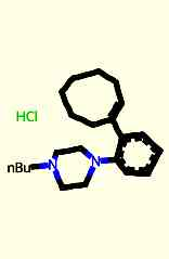 CCCCN1CCN(c2ccccc2C2=CCCCCCC2)CC1.Cl